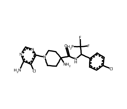 Nc1ncnc(N2CCC(N)(C(=O)NC(c3ccc(Cl)cc3)C(F)(F)P)CC2)c1Cl